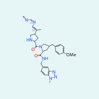 C=N/C=N\C=C(/C)C1CNC(C(=O)N2CC(Cc3ccc(OC)cc3)CC2C(=O)NCc2ccc3c(c2)nnn3C)C1